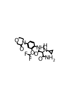 NC(=O)[C@H](NC1CC1)C(=O)Nc1ccc(N2CCOCC2=O)cc1OC(F)F